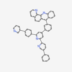 c1ccc(-c2ccc(-c3cc(-c4cccc(-c5c6ccccc6nc6c5ccc5cccnc56)c4)cc(-c4ccc(-c5cccnc5)cc4)n3)nc2)cc1